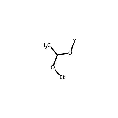 CCOC(C)[O][Y]